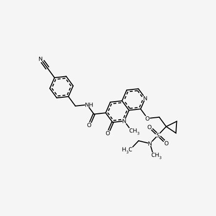 CCN(C)S(=O)(=O)C1(COc2nccc3cc(C(=O)NCc4ccc(C#N)cc4)c(=O)n(C)c23)CC1